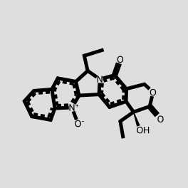 CCC1c2cc3ccccc3[n+]([O-])c2-c2cc3c(c(=O)n21)COC(=O)[C@]3(O)CC